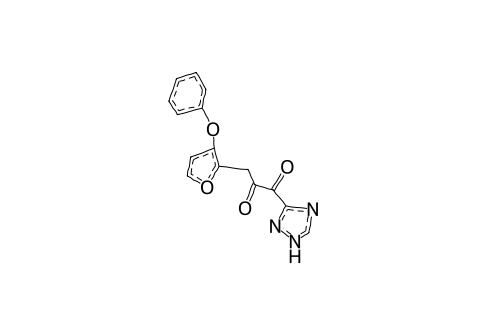 O=C(Cc1occc1Oc1ccccc1)C(=O)c1nc[nH]n1